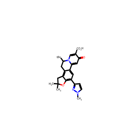 Cn1ccc(-c2cc3c(c4c2OC(C)(C)C4)CC(C(C)(C)C)n2cc(C(=O)O)c(=O)cc2-3)n1